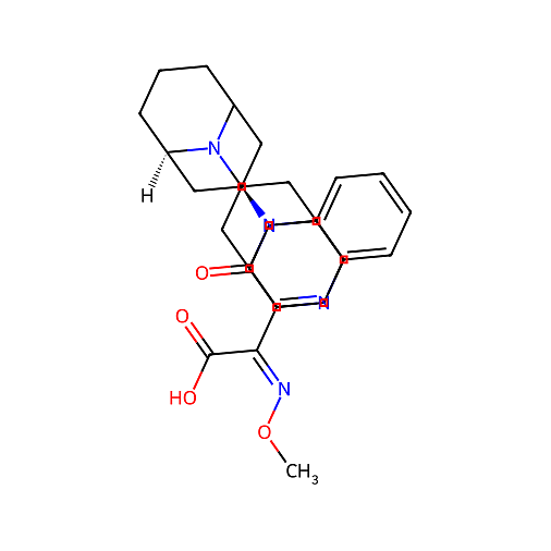 CON=C(C(=O)O)c1nc2ccccc2n([C@@H]2CC3CCC[C@H](C2)N3C2CC3CCCC(C3)C2)c1=O